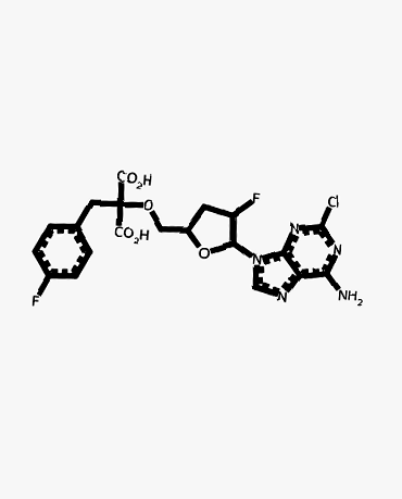 Nc1nc(Cl)nc2c1ncn2C1OC(COC(Cc2ccc(F)cc2)(C(=O)O)C(=O)O)CC1F